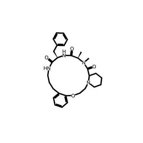 C[C@@H]1C(=O)N[C@H](Cc2ccccc2)C(=O)NCCCc2ccccc2OCCN2CCCCC2C(=O)N1C